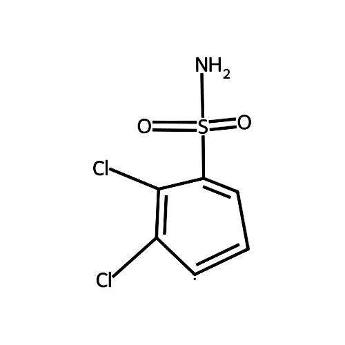 NS(=O)(=O)c1cc[c]c(Cl)c1Cl